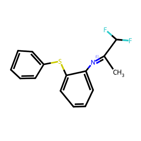 C/C(=N\c1ccccc1Sc1ccccc1)C(F)F